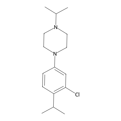 CC(C)c1ccc(N2CCN(C(C)C)CC2)cc1Cl